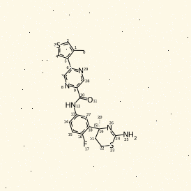 Cc1cscc1-c1cnc(C(=O)Nc2ccc(F)c([C@]3(C)CCSC(N)=N3)c2)cn1